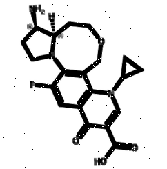 N[C@@H]1CCN2c3c(F)cc4c(=O)c(C(=O)O)cn(C5CC5)c4c3COCC[C@H]12